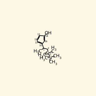 CC(C[Si](C)(C)[Si](C)(C)C)c1cccc(O)c1